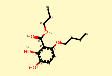 CCCCOc1ccc(O)c(O)c1C(=O)OCCC